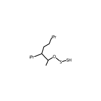 CC(C)CCC(C(C)C)C(C)OSS